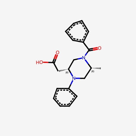 C[C@@H]1CN(c2ccccc2)[C@H](CC(=O)O)CN1C(=O)c1ccccc1